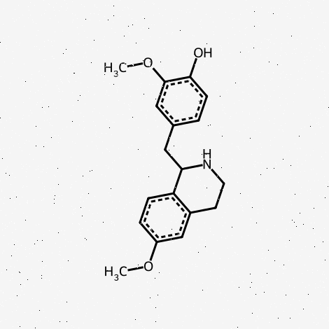 COc1ccc2c(c1)CCNC2Cc1ccc(O)c(OC)c1